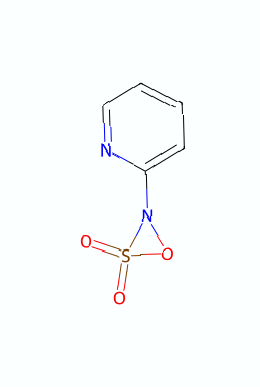 O=S1(=O)ON1c1ccccn1